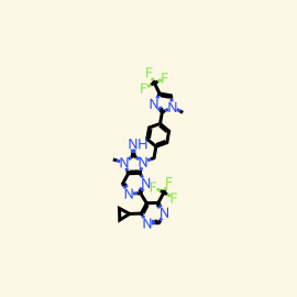 Cn1cc(C(F)(F)F)nc1-c1ccc(Cn2c(=N)n(C)c3cnc(-c4c(C5CC5)ncnc4C(F)(F)F)nc32)cc1